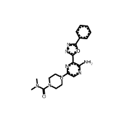 CN(C)C(=O)N1CCN(c2cnc(N)c(-c3nnc(-c4ccccc4)o3)n2)CC1